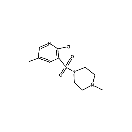 Cc1cnc(Cl)c(S(=O)(=O)N2CCN(C)CC2)c1